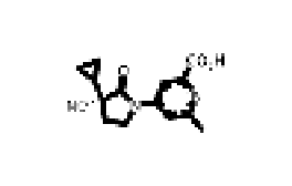 Cc1cc(N2CC[C@@](C#N)(C3CC3)C2=O)cc(C(=O)O)n1